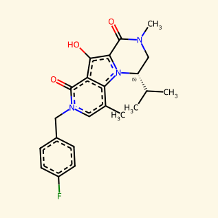 Cc1cn(Cc2ccc(F)cc2)c(=O)c2c(O)c3n(c12)[C@@H](C(C)C)CN(C)C3=O